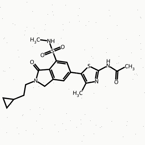 CNS(=O)(=O)c1cc(-c2sc(NC(C)=O)nc2C)cc2c1C(=O)N(CCC1CC1)C2